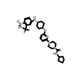 O=[N+]([O-])c1ccc(N[C@H]2CC[C@H](Oc3cccc(N4CCN(C(=S)NC5CCCC5)CC4)n3)CC2)cc1C(F)(F)F